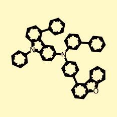 c1ccc(-c2cccc(N(c3ccc(-c4cccc5oc6ccccc6c45)cc3)c3ccc4c(c3)c3c(-c5ccccc5)cccc3n4-c3ccccc3)c2)cc1